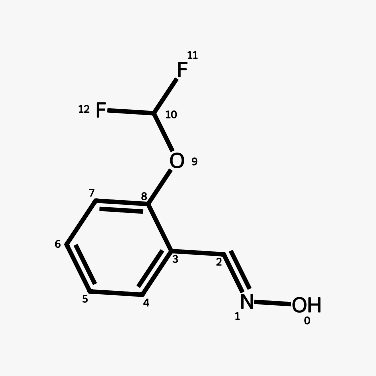 ON=Cc1ccccc1OC(F)F